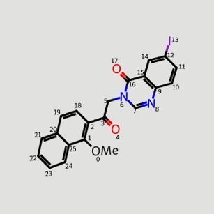 COc1c(C(=O)Cn2cnc3ccc(I)cc3c2=O)ccc2ccccc12